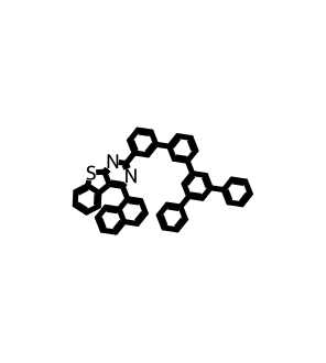 c1ccc(-c2cc(-c3ccccc3)cc(-c3cccc(-c4cccc(-c5nc(-c6cccc7ccccc67)c6c(n5)sc5ccccc56)c4)c3)c2)cc1